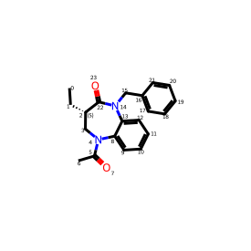 CC[C@H]1CN(C(C)=O)c2ccccc2N(Cc2ccccc2)C1=O